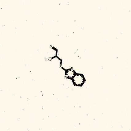 OC(C=S)CSc1nc2ccccc2s1